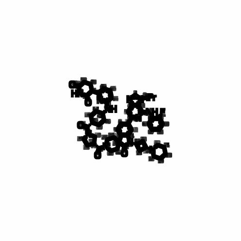 CC(C)n1cnc2cc(-c3ccc4c(c3)N([C@H]3C[C@@H](N5CCCCC5)C3)C(=O)C43CCN(C(=O)[C@@H]4CCN(C(=O)[C@H]5CC[C@H](Nc6cccc(C7CCC(=O)NC7=O)n6)CC5)C4)CC3)nc(Nc3ccccc3F)c21